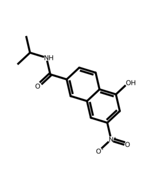 CC(C)NC(=O)c1ccc2c(O)cc([N+](=O)[O-])cc2c1